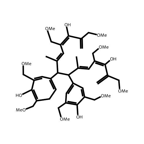 C=C(COC)/C(O)=C(\C=C(/C)C(C1=CCC(COC)=C(O)C(COC)=C1)C(/C(C)=C/C(COC)=C(/O)C(=C)COC)c1cc(COC)c(O)c(COC)c1)COC